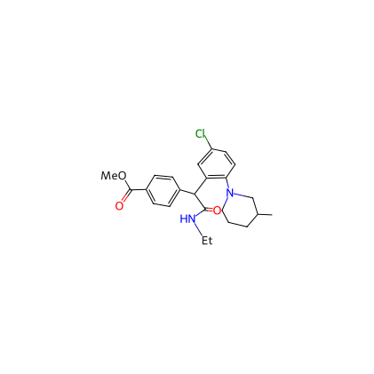 CCNC(=O)C(c1ccc(C(=O)OC)cc1)c1cc(Cl)ccc1N1CCCC(C)C1